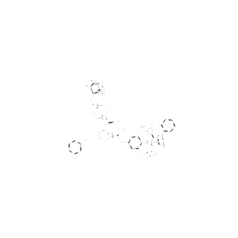 COc1cc(CC(=O)N2C[C@H](OCc3ccccc3)C[C@H]2C(=O)N2CCN(Cc3nnn[nH]3)CC2)ccc1NC(=O)Nc1ccccc1C